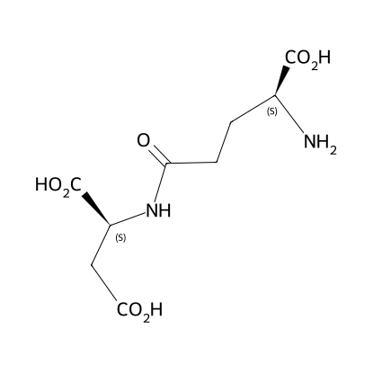 N[C@@H](CCC(=O)N[C@@H](CC(=O)O)C(=O)O)C(=O)O